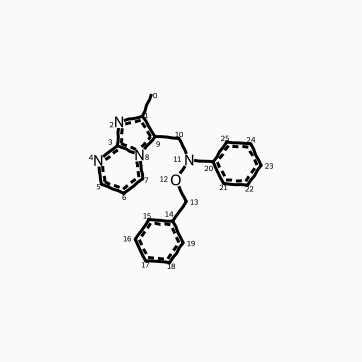 Cc1nc2ncccn2c1CN(OCc1ccccc1)c1ccccc1